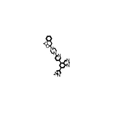 COc1ccccc1CC(=O)N1CCN(c2ccc(-c3cc(-c4cnn(C)c4)cc4ncncc34)cn2)CC1